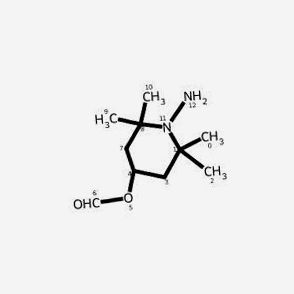 CC1(C)CC(OC=O)CC(C)(C)N1N